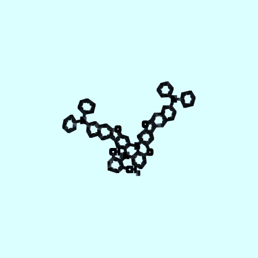 Cc1cccc(C)c1N1c2cc3c(cc2B2c4cc5oc6cc7cc(N(c8ccccc8)c8ccccc8)ccc7cc6c5cc4Oc4cccc1c42)oc1cc2cc(N(c4ccccc4)c4ccccc4)ccc2cc13